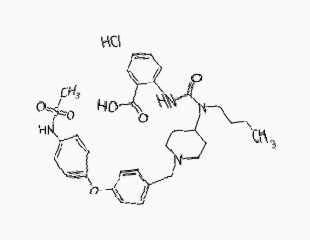 CCCCN(C(=O)Nc1ccccc1C(=O)O)C1CCN(Cc2ccc(Oc3ccc(NS(C)(=O)=O)cc3)cc2)CC1.Cl